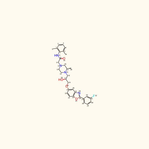 Cc1cccc(C)c1NC(=O)CN1CCN(C[C@H](O)COc2ccc3oc(-c4cccc(F)c4)nc3c2)[C@H](C)C1